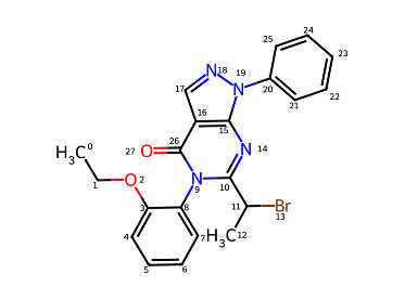 CCOc1ccccc1-n1c(C(C)Br)nc2c(cnn2-c2ccccc2)c1=O